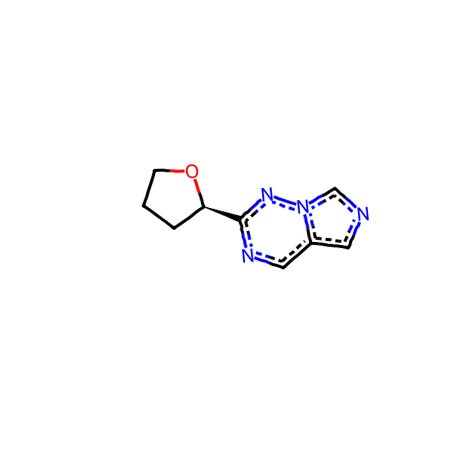 c1ncn2nc([C@H]3CCCO3)ncc12